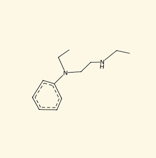 CCNCCN(CC)c1ccccc1